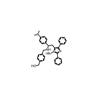 CCCCn1c(-c2ccccc2)nc(-c2ccccc2)c1CC(NCc1ccc(CO)cc1)c1ccc(N(C)C)cc1